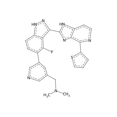 CN(C)Cc1cncc(-c2ccc3[nH]nc(-c4nc5c(-c6cccs6)nccc5[nH]4)c3c2F)c1